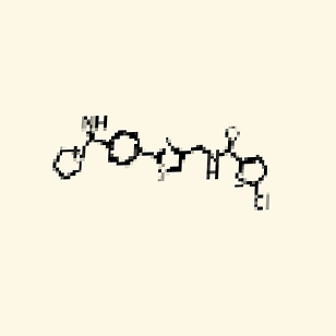 N=C(c1ccc(-c2nc(CNC(=O)C3=CCC(Cl)S3)cs2)cc1)N1CCCC1